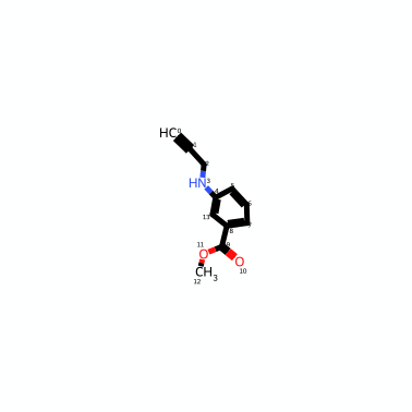 C#CCNc1cccc(C(=O)OC)c1